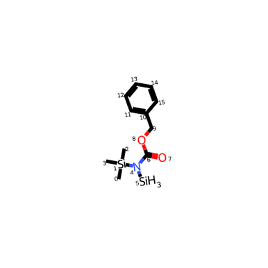 C[Si](C)(C)N([SiH3])C(=O)OCc1ccccc1